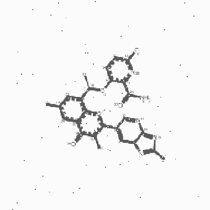 CC1=NC2C=C(c3oc4c([C@@H](C)Oc5ccc(Cl)nc5C(N)=O)cc(C)cc4c(=O)c3C)C=NC2=N1